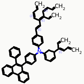 C=C\C=C/C(C=C)=C(\C=C/C=C)/C=C/c1ccc(N(C2=CC=CC(/C(C=C)=C/C=C)C2)c2ccc(-c3c(-c4ccccc4)c4ccccc4c4ccccc34)cc2)cc1